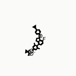 Cc1cc(OCC2([S+](C)[O-])CC2)cc(C)c1-c1ccc(F)c2c1CCC2Oc1ccc(C2CC2)cc1